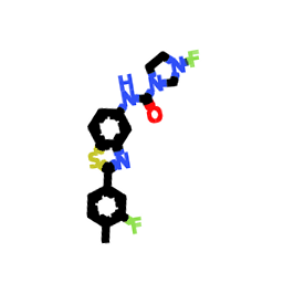 Cc1ccc(-c2nc3cc(NC(=O)N4CCN(F)C4)ccc3s2)cc1F